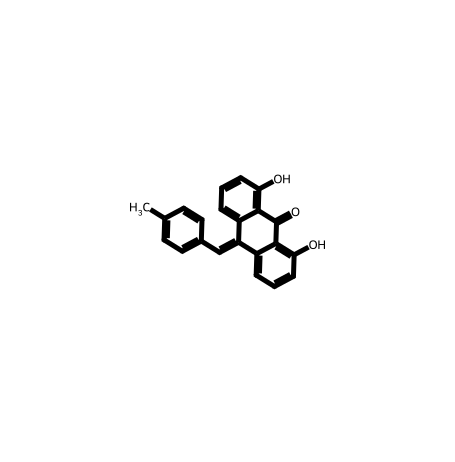 Cc1ccc(C=C2c3cccc(O)c3C(=O)c3c(O)cccc32)cc1